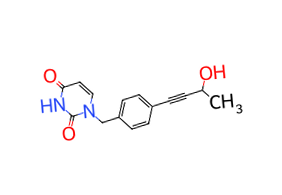 CC(O)C#Cc1ccc(Cn2ccc(=O)[nH]c2=O)cc1